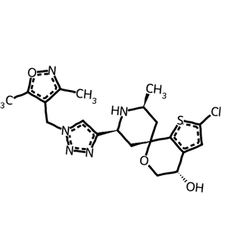 Cc1noc(C)c1Cn1cc([C@@H]2C[C@]3(C[C@H](C)N2)OC[C@@H](O)c2cc(Cl)sc23)nn1